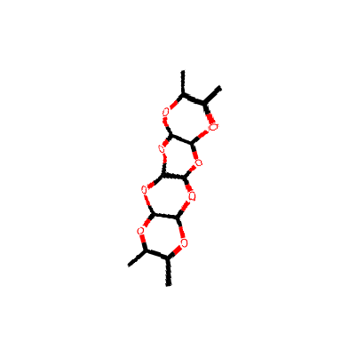 CC1OC2OC3OC4OC(C)C(C)OC4OC3OC2OC1C